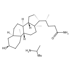 CC(N)C(C)(C)C.C[C@H](CCC(N)=O)[C@H]1CC[C@H]2[C@@H]3CC[C@@H]4C[C@H](O)CC[C@]4(C)[C@H]3CC[C@]12C